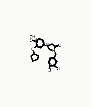 COc1ccc([C@H]2CC(=O)N(Cc3ccc(Cl)c(Cl)c3)C2)cc1OC1CCCC1